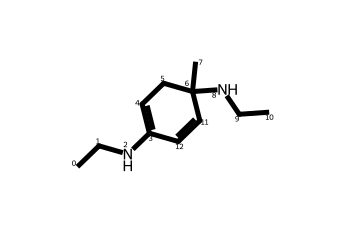 CCNC1=CCC(C)(NCC)C=C1